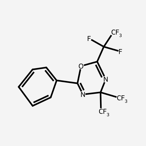 FC(F)(F)C(F)(F)C1=NC(C(F)(F)F)(C(F)(F)F)N=C(c2ccccc2)O1